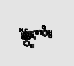 CC(C)(CCCOCn1ccc(=O)[nH]c1=O)NS(=O)(=O)c1cccc(Cl)c1